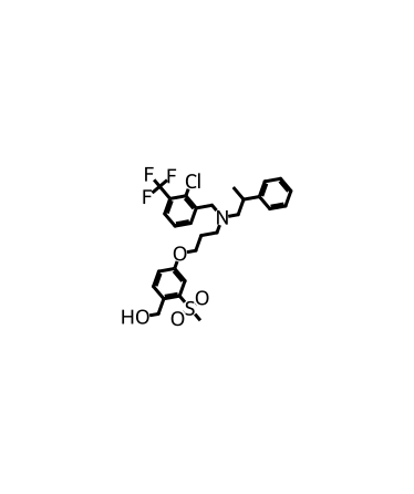 CC(CN(CCCOc1ccc(CO)c(S(C)(=O)=O)c1)Cc1cccc(C(F)(F)F)c1Cl)c1ccccc1